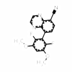 COc1cc(OC)c(F)c(-c2ccc(C#N)c3nccnc23)c1F